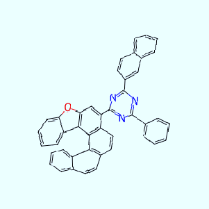 c1ccc(-c2nc(-c3ccc4ccccc4c3)nc(-c3cc4oc5ccccc5c4c4c3ccc3ccc5ccccc5c34)n2)cc1